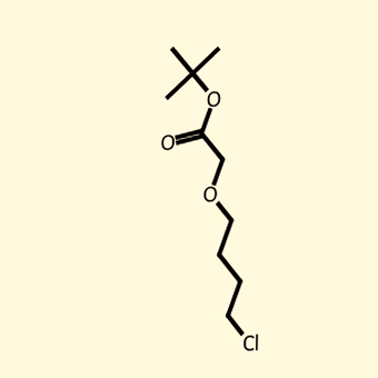 CC(C)(C)OC(=O)COCCCCCl